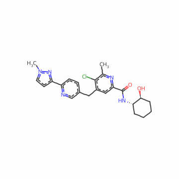 Cc1nc(C(=O)N[C@H]2CCCC[C@@H]2O)cc(Cc2ccc(-c3ccn(C)n3)nc2)c1Cl